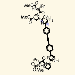 C/C=C(\N=C(/C)[C@@H]1CN(C(=O)OC)CN1C(=O)[C@@H](NC(=O)OC)C(C)C)c1ccc(C#Cc2ccc(-c3c[nH]c([C@@H]4CCCN4C(=O)[C@@H](NC(=O)OC)C(C)C)n3)cc2)cc1